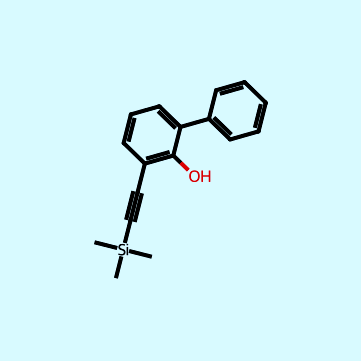 C[Si](C)(C)C#Cc1cccc(-c2ccccc2)c1O